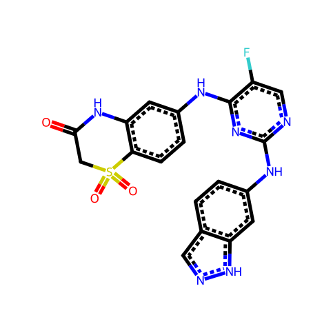 O=C1CS(=O)(=O)c2ccc(Nc3nc(Nc4ccc5cn[nH]c5c4)ncc3F)cc2N1